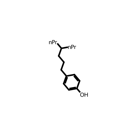 CCCC(CCC)CCCc1ccc(O)cc1